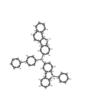 c1ccc(-c2ccc(N(c3ccc4sc5c6ccccc6ccc5c4c3)c3ccc4c(c3)c3ccccc3n4-c3ccccc3)cc2)cc1